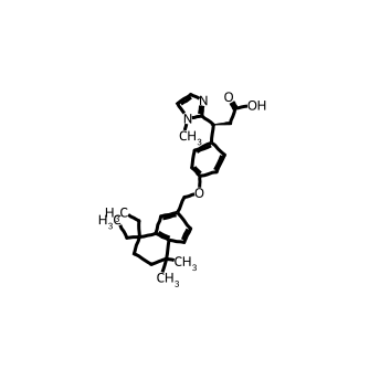 CCC1(CC)CCC(C)(C)c2ccc(COc3ccc([C@H](CC(=O)O)c4nccn4C)cc3)cc21